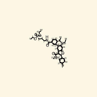 CCOP(=O)(CCCNC(=O)c1cccc(-c2cc3c(C(=O)NC)c(-c4ccc(F)cc4)oc3cc2N(CC)CC)c1)OCC